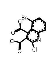 O=C(Cl)c1c(Cl)nc2cccc(Br)c2c1C(=O)Cl